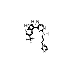 Nc1cnc(NCCCn2ccnc2)nc1-c1c[nH]c2ncc(C(F)(F)F)cc12